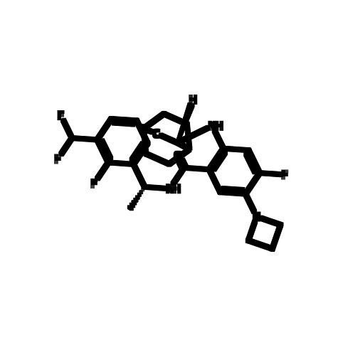 C[C@@H](NC(=O)c1cc(N2CCC2)c(F)cc1N[C@H]1CN2CCC1CC2)c1cccc(C(F)F)c1F